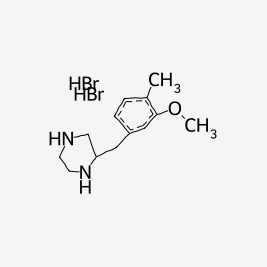 Br.Br.COc1cc(CC2CNCCN2)ccc1C